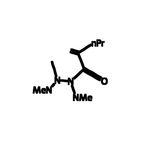 C=C(CCC)C(=O)N(NC)N(C)NC